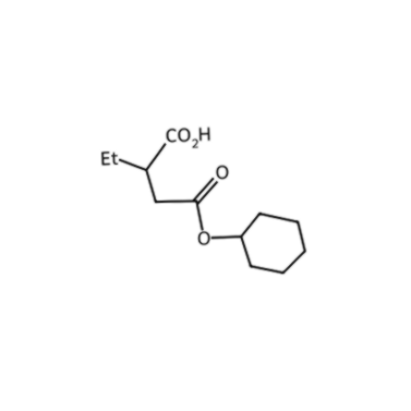 CCC(CC(=O)OC1CCCCC1)C(=O)O